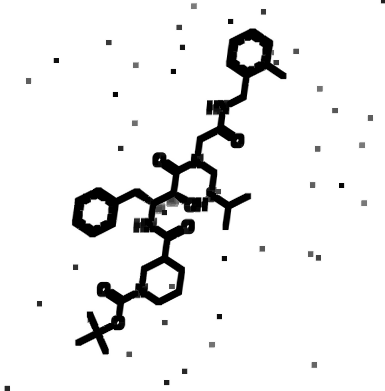 Cc1ccccc1CNC(=O)CN(CSC(C)C)C(=O)[C@@H](O)[C@H](Cc1ccccc1)NC(=O)C1CCCN(C(=O)OC(C)(C)C)C1